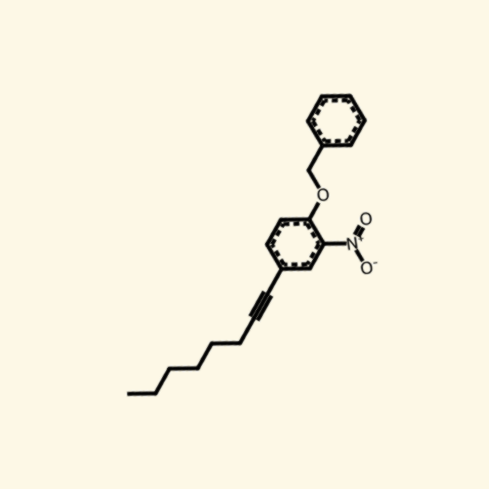 CCCCCCC#Cc1ccc(OCc2ccccc2)c([N+](=O)[O-])c1